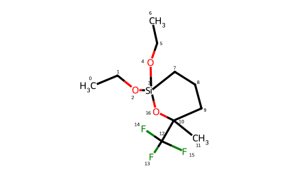 CCO[Si]1(OCC)CCCC(C)(C(F)(F)F)O1